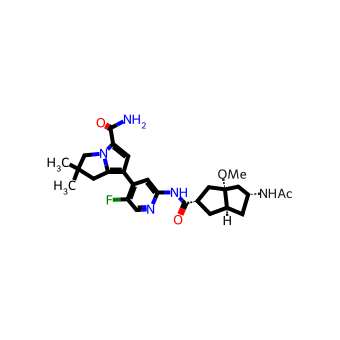 CO[C@]12C[C@H](NC(C)=O)C[C@H]1C[C@H](C(=O)Nc1cc(-c3cc(C(N)=O)n4c3CC(C)(C)C4)c(F)cn1)C2